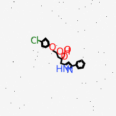 O=COC(Cc1cc(-c2ccccc2)n[nH]1)CC(O)COc1ccc(Cl)cc1